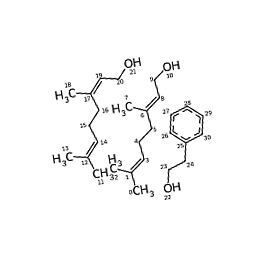 CC(C)=CCC/C(C)=C/CO.CC(C)=CCC/C(C)=C\CO.OCCc1ccccc1